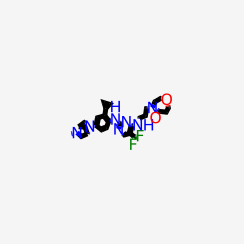 CN1CC2CC1CN2c1ccc(Nc2ncc(C(F)F)c(NCCCN3CCOCCC3=O)n2)c(C2CC2)c1